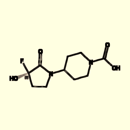 O=C(O)N1CCC(N2CC[C@@](O)(F)C2=O)CC1